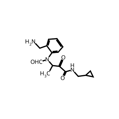 CC(C(=O)C(=O)NCC1CC1)N(C=O)c1ccccc1CN